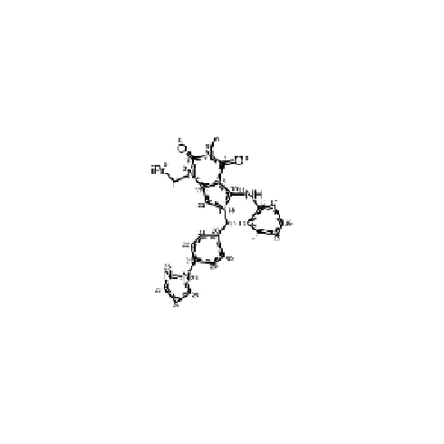 CC(C)Cn1c(=O)n(C)c(=O)c2c(Nc3ccccc3)n(Cc3ccc(-n4cccn4)cc3)cc21